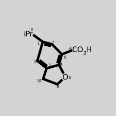 CC(C)c1cc2c(c(C(=O)O)c1)OCC2